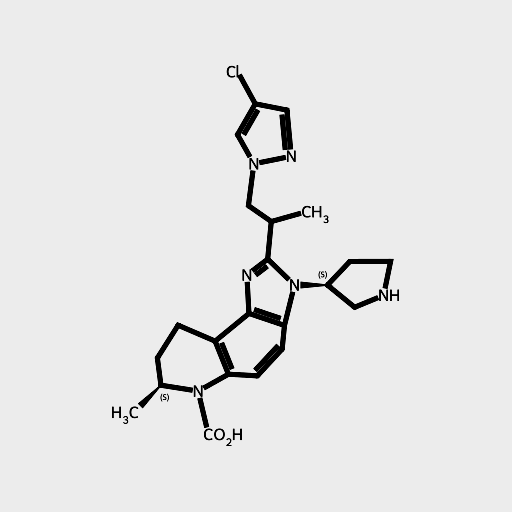 CC(Cn1cc(Cl)cn1)c1nc2c3c(ccc2n1[C@H]1CCNC1)N(C(=O)O)[C@@H](C)CC3